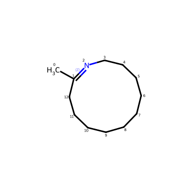 C/C1=N/CCCCCCCCCC1